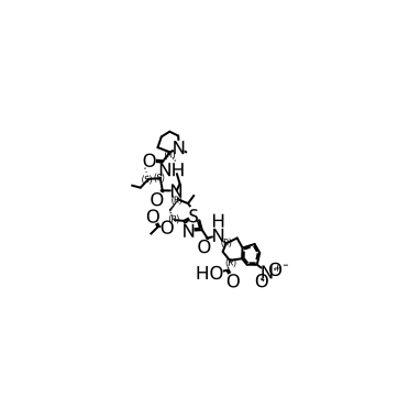 CC[C@H](C)[C@H](NC(=O)[C@@]1(C)CCCCN1C)C(=O)N(CC)[C@H](C[C@@H](OC(C)=O)c1nc(C(=O)N[C@H]2Cc3ccc([N+](=O)[O-])cc3[C@H](C(=O)O)C2)cs1)C(C)C